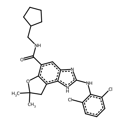 CC1(C)Cc2c(c(C(=O)NCC3CCCC3)cc3nc(Nc4c(Cl)cccc4Cl)[nH]c23)O1